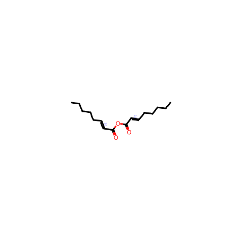 CCCCC/C=C/C(=O)OC(=O)/C=C/CCCCC